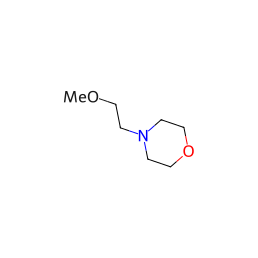 COCCN1CCOCC1